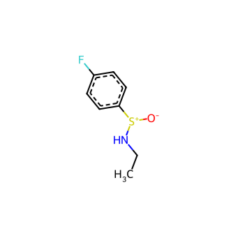 CCN[S+]([O-])c1ccc(F)cc1